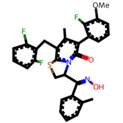 COc1cccc(-c2c(C)c(Cc3c(F)cccc3F)c3n(c2=O)C(C(=NO)c2ccccc2C)CS3)c1F